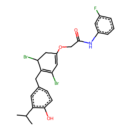 CC(C)c1cc(CC2=C(Br)C=C(OCC(=O)Nc3cccc(F)c3)CC2Br)ccc1O